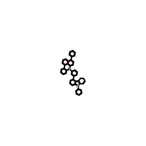 C1=Cc2c(c3c(-c4cccc(N(c5ccc(-c6ccccc6)cc5)c5ccccc5-c5ccccc5)c4)cccc3n2-c2ccccc2)CC1